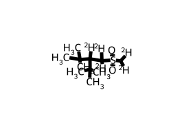 [2H]C([2H])S(=O)(=O)C([2H])([2H])C([2H])(C(C)(C)C)C(C)(C)C